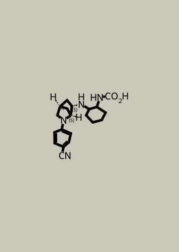 N#Cc1ccc(N2C[C@H]3C[C@H](NC4CCCCC4NC(=O)O)[C@@H]2C3)cc1